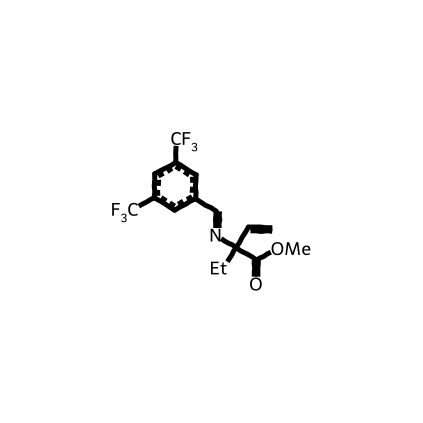 C=CC(CC)(/N=C/c1cc(C(F)(F)F)cc(C(F)(F)F)c1)C(=O)OC